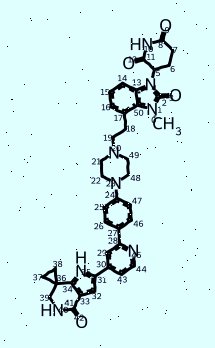 Cn1c(=O)n(C2CCC(=O)NC2=O)c2cccc(CCN3CCN(c4ccc(-c5cc(-c6cc7c([nH]6)C6(CC6)CNC7=O)ccn5)cc4)CC3)c21